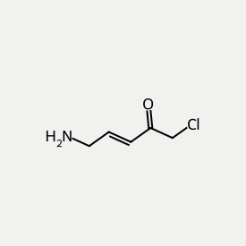 NCC=CC(=O)CCl